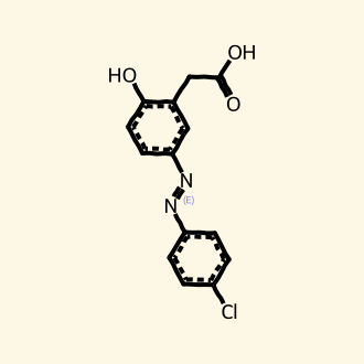 O=C(O)Cc1cc(/N=N/c2ccc(Cl)cc2)ccc1O